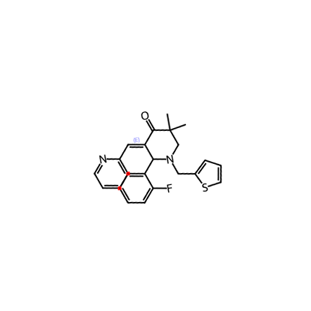 CC1(C)CN(Cc2cccs2)C(c2ccccc2F)/C(=C\c2ccccn2)C1=O